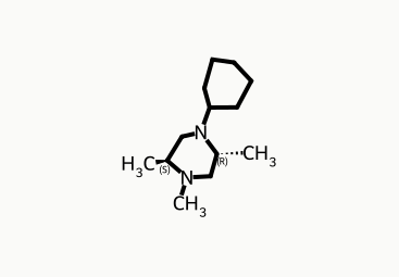 C[C@@H]1CN(C)[C@@H](C)CN1C1CCCCC1